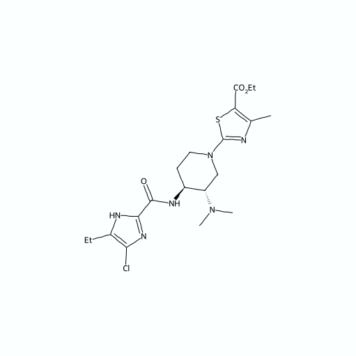 CCOC(=O)c1sc(N2CC[C@H](NC(=O)c3nc(Cl)c(CC)[nH]3)[C@@H](N(C)C)C2)nc1C